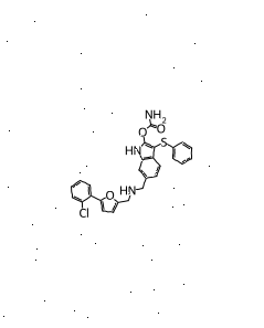 NC(=O)Oc1[nH]c2cc(CNCc3ccc(-c4ccccc4Cl)o3)ccc2c1Sc1ccccc1